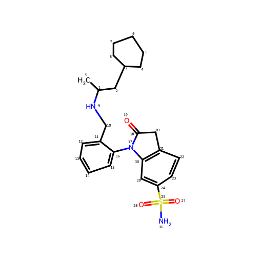 CC(CC1CCCCC1)NCc1ccccc1N1C(=O)Cc2ccc(S(N)(=O)=O)cc21